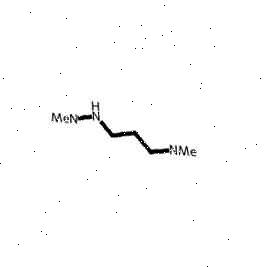 CNCCCNNC